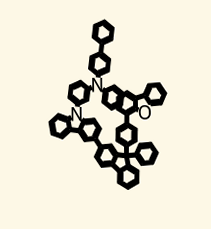 c1ccc(-c2ccc(N(c3ccccc3)c3cccc(-n4c5ccccc5c5cc(-c6ccc7c(c6)C(c6ccccc6)(c6ccc(-c8cccc9c8oc8ccccc89)cc6)c6ccccc6-7)ccc54)c3)cc2)cc1